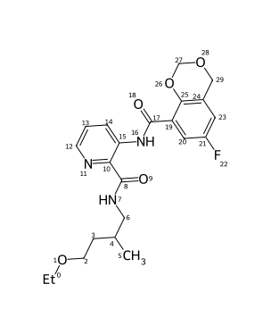 CCOCCC(C)CNC(=O)c1ncccc1NC(=O)c1cc(F)cc2c1OCOC2